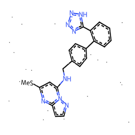 CSc1cc(NCc2ccc(-c3ccccc3-c3nnn[nH]3)cc2)n2nccc2n1